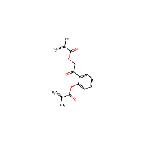 C=C(C)C(=O)OCC(=O)c1ccccc1OC(=O)C(=C)C